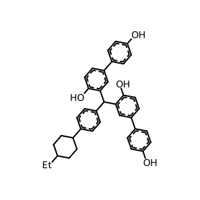 CCC1CCC(c2ccc(C(c3cc(-c4ccc(O)cc4)ccc3O)c3cc(-c4ccc(O)cc4)ccc3O)cc2)CC1